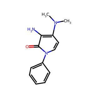 CN(C)c1ccn(-c2ccccc2)c(=O)c1N